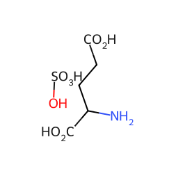 NC(CCC(=O)O)C(=O)O.O=S(=O)(O)O